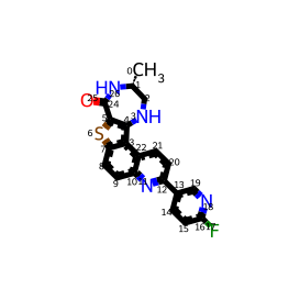 C[C@@H]1CNc2c(sc3ccc4nc(-c5ccc(F)nc5)ccc4c23)C(=O)N1